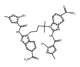 CCn1nc(C)cc1C(=O)Nc1nc2cc(C(N)=O)ccc2n1CCCC(C)(C)n1c(NC(=O)c2cc(C)nn2CC)nc2cc(C(N)=O)ccc21